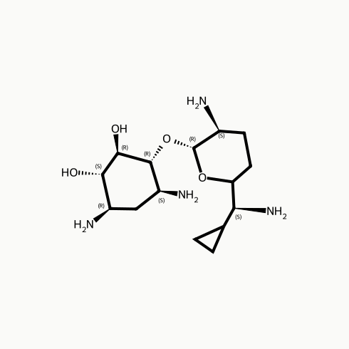 N[C@@H](C1CC1)C1CC[C@H](N)[C@@H](O[C@H]2[C@H](O)[C@@H](O)[C@H](N)C[C@@H]2N)O1